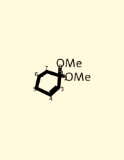 COC1(OC)C=CC[CH]C1